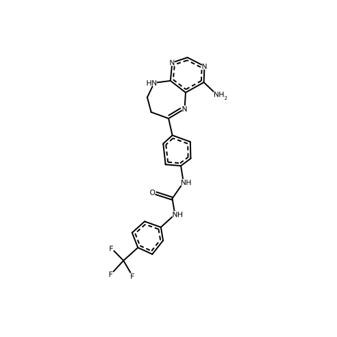 Nc1ncnc2c1N=C(c1ccc(NC(=O)Nc3ccc(C(F)(F)F)cc3)cc1)CCN2